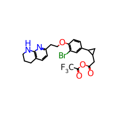 O=C(CC1CC1c1ccc(OCCc2ccc3c(n2)NCCC3)c(Br)c1)OC(=O)C(F)(F)F